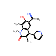 CC(=N)c1cc2c(-c3cccnc3)c(C)c(=O)n(C)c2c(C)c1O